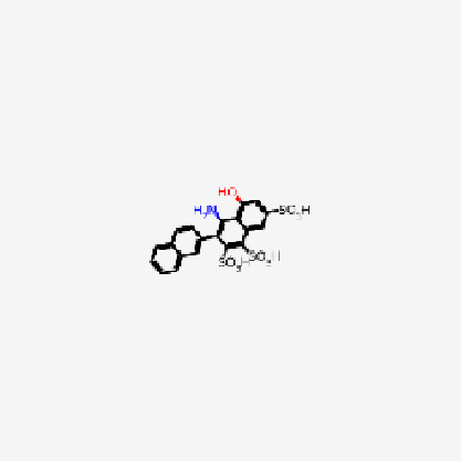 Nc1c(-c2ccc3ccccc3c2)c(S(=O)(=O)O)c(S(=O)(=O)O)c2cc(S(=O)(=O)O)cc(O)c12